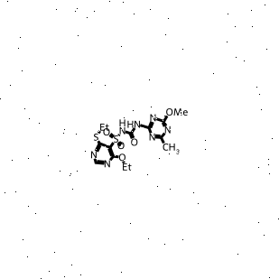 CCOc1ncnc(SCC)c1S(=O)(=O)NC(=O)Nc1nc(C)nc(OC)n1